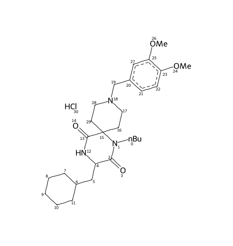 CCCCN1C(=O)C(CC2CCCCC2)NC(=O)C12CCN(Cc1ccc(OC)c(OC)c1)CC2.Cl